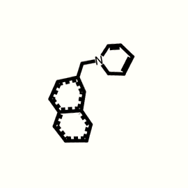 C1=CCN(Cc2ccc3ccccc3c2)C=C1